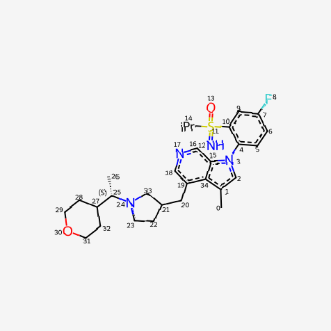 Cc1cn(-c2ccc(F)cc2S(=N)(=O)C(C)C)c2cncc(CC3CCN([C@@H](C)C4CCOCC4)C3)c12